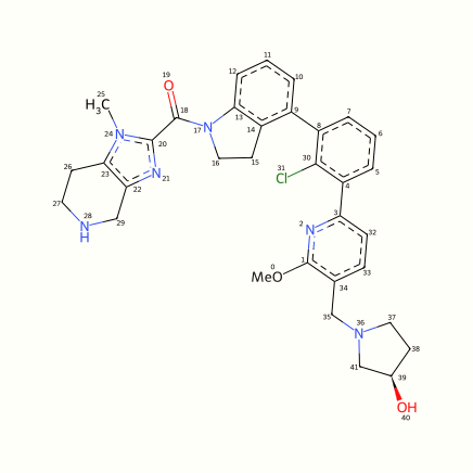 COc1nc(-c2cccc(-c3cccc4c3CCN4C(=O)c3nc4c(n3C)CCNC4)c2Cl)ccc1CN1CC[C@@H](O)C1